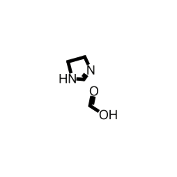 C1=NCCN1.O=CO